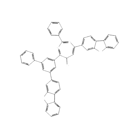 CCC1C=C(c2ccc3c(c2)oc2ccccc23)N=C(c2ccccc2)N=C1c1cc(-c2ccccc2)cc(-c2ccc3c(c2)oc2ccccc23)c1